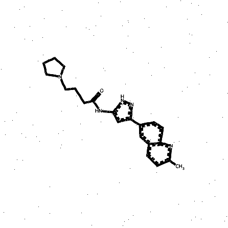 Cc1ccc2cc(-c3cc(NC(=O)CCCN4CCCC4)[nH]n3)ccc2n1